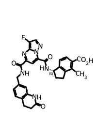 Cc1c(C(=O)O)ccc2c1CC[C@@H]2NC(=O)c1cc(C(=O)NCc2ccc3c(c2)NC(=O)CC3)nc2c(F)cnn12